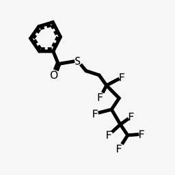 O=C(SCCC(F)(F)CC(F)C(F)(F)C(F)F)c1ccccc1